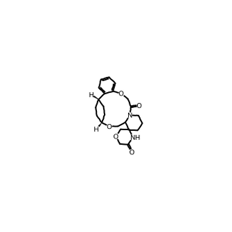 O=C1COCC2(CCCN3C(=O)COc4ccccc4[C@H]4CC[C@H](CC4)OCC32)N1